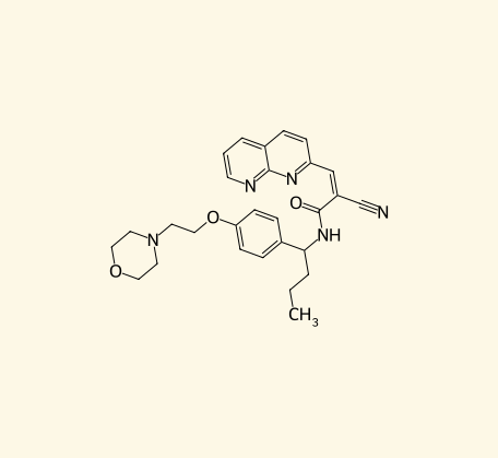 CCCC(NC(=O)C(C#N)=Cc1ccc2cccnc2n1)c1ccc(OCCN2CCOCC2)cc1